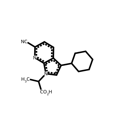 CC(C(=O)O)n1cc(C2CCCCC2)c2ccc(C#N)nc21